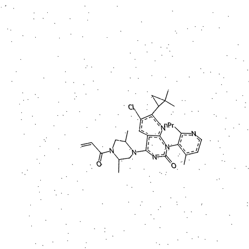 C=CC(=O)N1CC(C)N(c2nc(=O)n(-c3c(C)ccnc3CCC)c3nc(C4CC4(C)C)c(Cl)cc23)CC1C